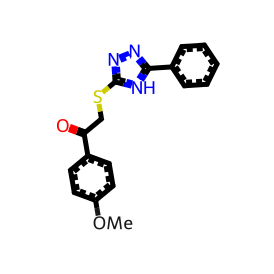 COc1ccc(C(=O)CSc2nnc(-c3ccccc3)[nH]2)cc1